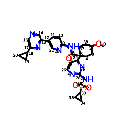 COC1CCC(C(=O)Nc2ccc(-c3cncc(C4CC4)n3)cn2)(c2ccnc(NS(=O)(=O)C3CC3)n2)CC1